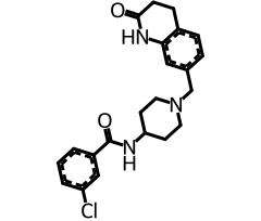 O=C1CCc2ccc(CN3CCC(NC(=O)c4cccc(Cl)c4)CC3)cc2N1